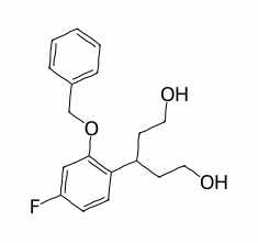 OCCC(CCO)c1ccc(F)cc1OCc1ccccc1